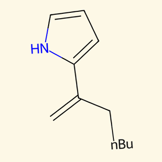 C=C(CCCCC)c1ccc[nH]1